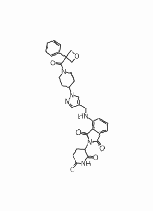 O=C1CCC(N2C(=O)c3cccc(NCc4cnn(C5CCN(C(=O)C6(c7ccccc7)COC6)CC5)c4)c3C2=O)C(=O)N1